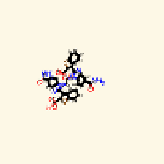 NC(=O)c1ccc2c(c1)nc(-c1c(C(=O)O)sc3ccccc13)n2CCn1c(-c2c(C(=O)O)sc3ccccc23)nc2cc(C(N)=O)ccc21